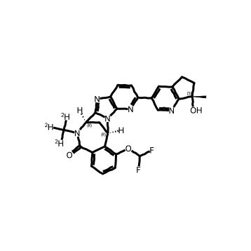 [2H]C([2H])([2H])N1C(=O)c2cccc(OC(F)F)c2[C@H]2C[C@@H]1c1nc3ccc(-c4cnc5c(c4)CC[C@]5(C)O)nc3n12